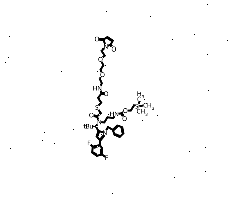 CC(C)(C)[C@H](c1cc(-c2cc(F)ccc2F)cn1Cc1ccccc1)N(CCCNC(=O)OCC[Si](C)(C)C)C(=O)CSCCC(=O)NCCOCCOCCN1C(=O)C=CC1=O